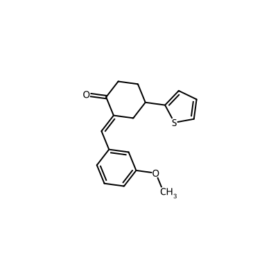 COc1cccc(C=C2CC(c3cccs3)CCC2=O)c1